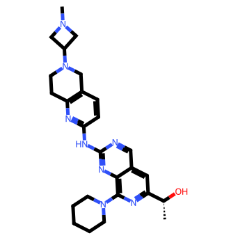 C[C@@H](O)c1cc2cnc(Nc3ccc4c(n3)CCN(C3CN(C)C3)C4)nc2c(N2CCCCC2)n1